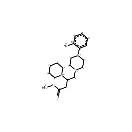 CCCCOC(=O)CC(CN1CCN(c2ccccc2C#N)CC1)N1CCCCC1